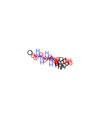 CCCC1=CC(=O)C=C[C@]1(C)[C@@H]1C[C@@H]2C[C@H]3OC(CCC)O[C@@]3(C(=O)COCNC(=O)CNC(=O)CNC(=O)CNC(=O)COC3/C=C\CCCCC3)[C@@]2(C)C[C@@H]1O